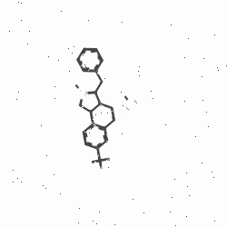 CN1CC2c3ccc(C(F)(F)F)cc3CCC2C1Cc1ccccc1.CS(=O)(=O)O